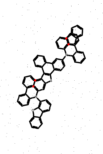 c1ccc(-c2ccccc2N(c2ccc3c(c2)sc2c4ccc(N(c5ccccc5-c5ccccc5)c5cccc6c5oc5ccccc56)cc4c4ccccc4c32)c2cccc3c2oc2ccccc23)cc1